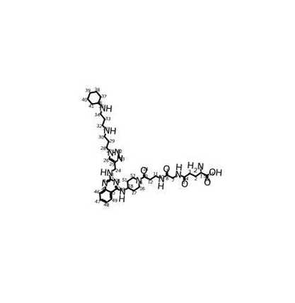 N[C@H](CCC(=O)NCC(=O)NCCC(=O)N1CCC(Nc2nc(NCc3cn(CCCNCCCNC4CCCCC4)nn3)nc3ccccc23)CC1)C(=O)O